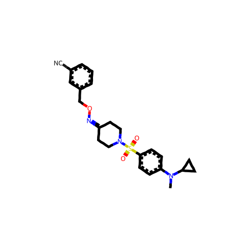 CN(c1ccc(S(=O)(=O)N2CCC(=NOCc3cccc(C#N)c3)CC2)cc1)C1CC1